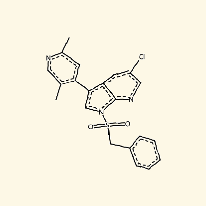 Cc1cc(-c2cn(S(=O)(=O)Cc3ccccc3)c3ncc(Cl)cc23)c(C)cn1